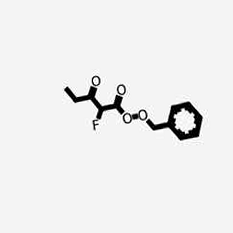 CCC(=O)C(F)C(=O)OOCc1ccccc1